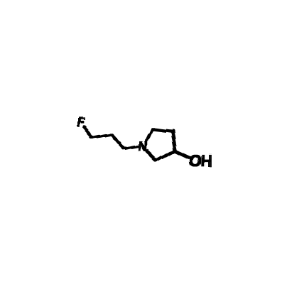 OC1CCN(CCCF)C1